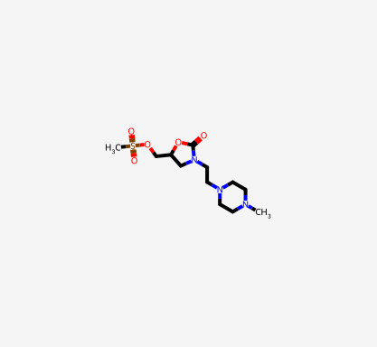 CN1CCN(CCN2CC(COS(C)(=O)=O)OC2=O)CC1